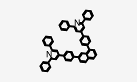 c1ccc(-c2cc(-c3ccc(-c4ccc5cccc(-c6ccc(-c7cc(-c8ccccc8)nc(-c8ccccc8)c7)cc6)c5c4)cc3)cc(-c3ccccc3)n2)cc1